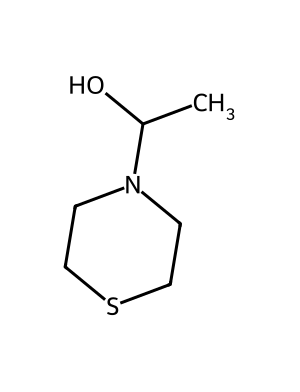 CC(O)N1CCSCC1